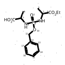 CCOC(=O)C(C)NP(=O)(NC(C)C(=O)O)OCc1ccccc1